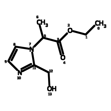 CCOC(=O)C(C)n1ccnc1CO